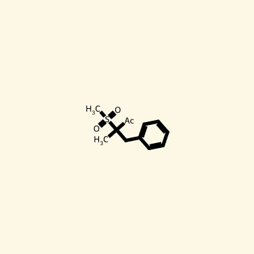 CC(=O)C(C)(Cc1ccccc1)S(C)(=O)=O